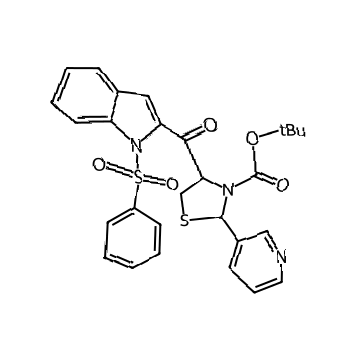 CC(C)(C)OC(=O)N1C(C(=O)c2cc3ccccc3n2S(=O)(=O)c2ccccc2)CSC1c1cccnc1